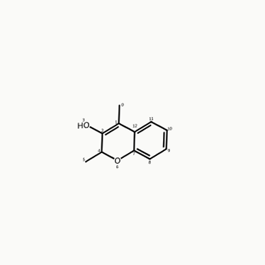 CC1=C(O)C(C)Oc2ccccc21